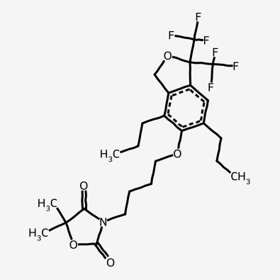 CCCc1cc2c(c(CCC)c1OCCCCN1C(=O)OC(C)(C)C1=O)COC2(C(F)(F)F)C(F)(F)F